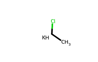 CCCl.[KH]